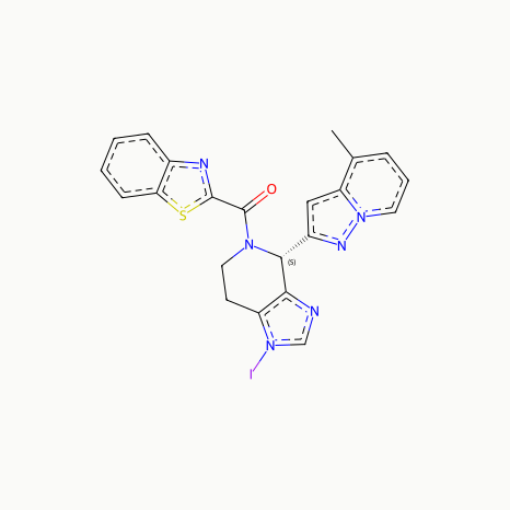 Cc1cccn2nc([C@@H]3c4ncn(I)c4CCN3C(=O)c3nc4ccccc4s3)cc12